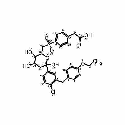 CCOc1ccc(Cc2cc([C@]3(O)C[C@@H](O)[C@H](O)[C@@H](CS(=O)(=O)c4ccc(CC(=O)O)cc4)O3)ccc2Cl)cc1